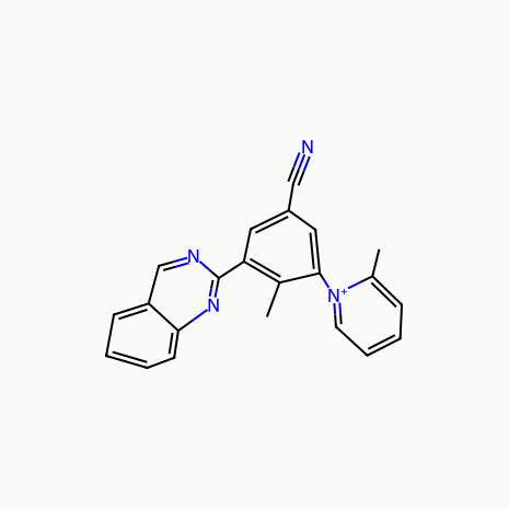 Cc1c(-c2ncc3ccccc3n2)cc(C#N)cc1-[n+]1ccccc1C